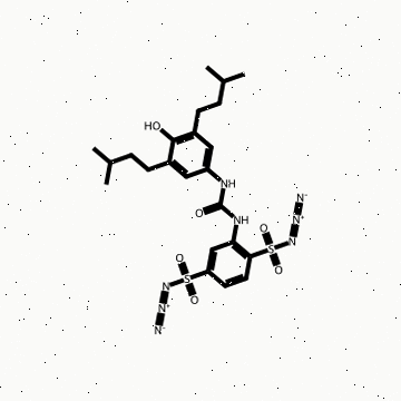 CC(C)CCc1cc(NC(=O)Nc2cc(S(=O)(=O)N=[N+]=[N-])ccc2S(=O)(=O)N=[N+]=[N-])cc(CCC(C)C)c1O